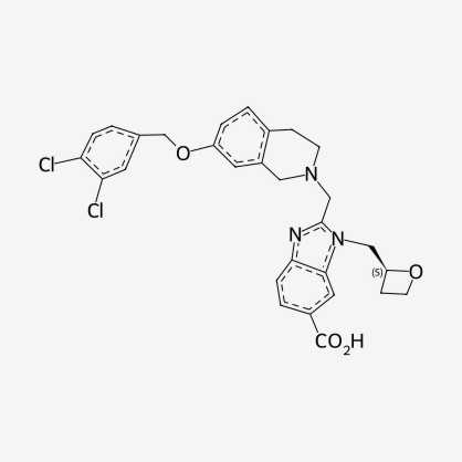 O=C(O)c1ccc2nc(CN3CCc4ccc(OCc5ccc(Cl)c(Cl)c5)cc4C3)n(C[C@@H]3CCO3)c2c1